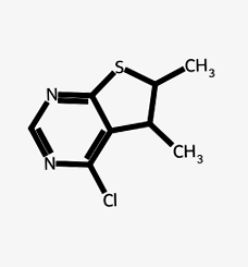 CC1Sc2ncnc(Cl)c2C1C